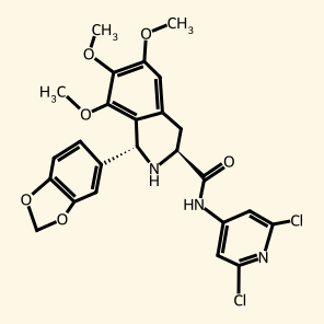 COc1cc2c(c(OC)c1OC)[C@@H](c1ccc3c(c1)OCO3)N[C@H](C(=O)Nc1cc(Cl)nc(Cl)c1)C2